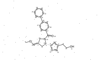 CON=C1C[C@@H](c2nc(CCO)no2)N(C(=O)c2ccc(-c3ccccc3)cc2)C1